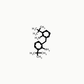 CC(C)(C)c1cccc(Cc2cccc(C(C)(C)C)c2N)c1N